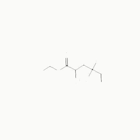 CCOC(=O)C(O)CC(F)(F)CCl